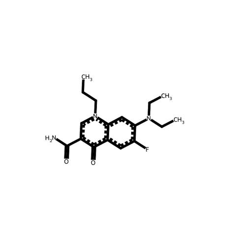 CCCn1cc(C(N)=O)c(=O)c2cc(F)c(N(CC)CC)cc21